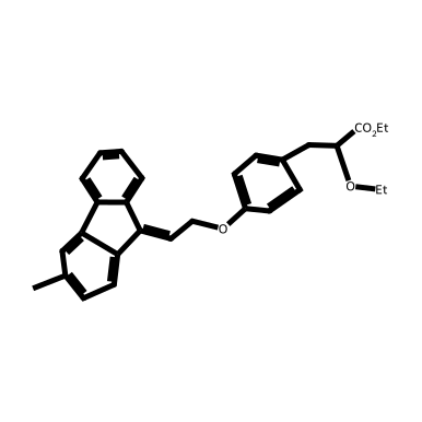 CCOC(=O)C(Cc1ccc(OC/C=C2\c3ccccc3-c3cc(C)ccc32)cc1)OCC